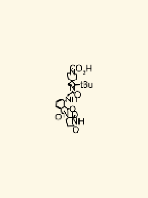 CC(C)(C)C1N(C(=O)CNc2cccc3c2C(=O)N(C2CCC(=O)NC2=O)C3=O)CC12CCN(C(=O)O)CC2